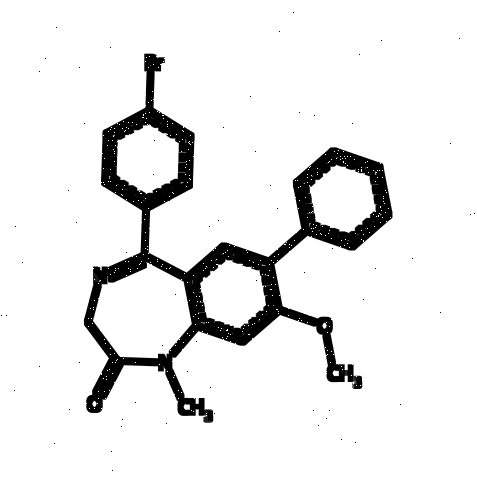 COc1cc2c(cc1-c1ccccc1)C(c1ccc(Br)cc1)=NCC(=O)N2C